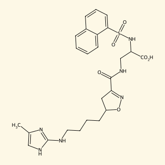 Cc1c[nH]c(NCCCCC2CC(C(=O)NCC(NS(=O)(=O)c3cccc4ccccc34)C(=O)O)=NO2)n1